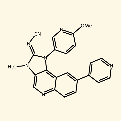 COc1ccc(-n2c(=NC#N)n(C)c3cnc4ccc(-c5ccncc5)cc4c32)cn1